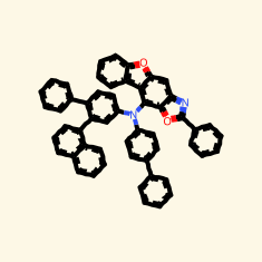 c1ccc(-c2ccc(N(c3ccc(-c4ccccc4)c(-c4cccc5ccccc45)c3)c3c4oc(-c5ccccc5)nc4cc4oc5ccccc5c34)cc2)cc1